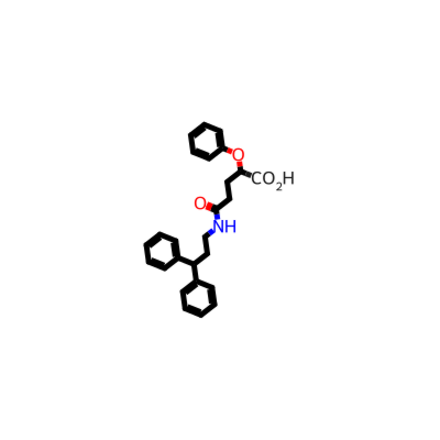 O=C(CCC(Oc1ccccc1)C(=O)O)NCCC(c1ccccc1)c1ccccc1